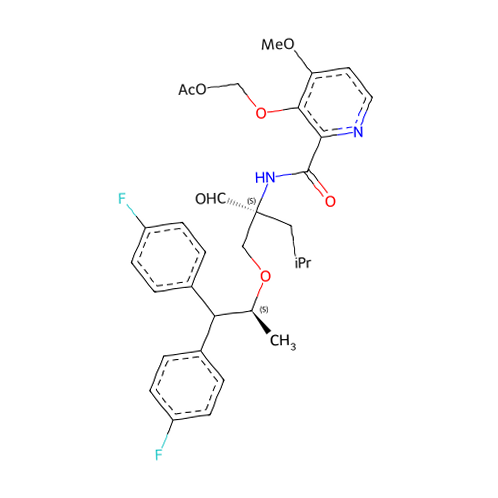 COc1ccnc(C(=O)N[C@](C=O)(CO[C@@H](C)C(c2ccc(F)cc2)c2ccc(F)cc2)CC(C)C)c1OCOC(C)=O